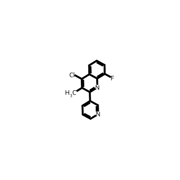 Cc1c(-c2cccnc2)nc2c(F)cccc2c1Cl